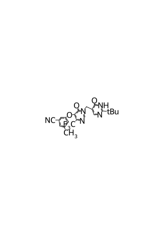 Cc1cc(C#N)cc(Oc2c(C(F)(F)F)ncn(Cc3cnc(C(C)(C)C)[nH]c3=O)c2=O)c1